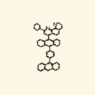 c1ccc(-c2cc(-c3c4ccccc4c(-c4ccc(-c5c6ccccc6cc6ccccc56)cc4)c4ccccc34)c3ccc4cccnc4c3n2)cc1